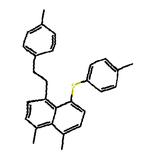 Cc1ccc(CCc2ccc(C)c3c(C)ccc(Sc4ccc(C)cc4)c23)cc1